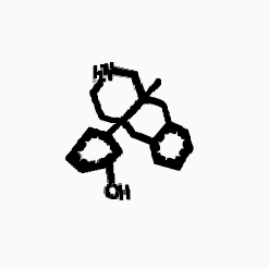 C[C@]12CNCC[C@@]1(c1cccc(O)c1)Cc1ccccc1C2